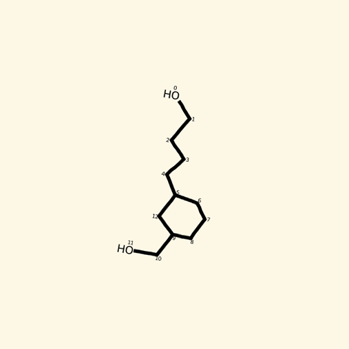 OCCCCC1CCCC(CO)C1